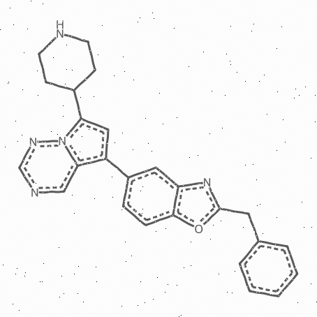 c1ccc(Cc2nc3cc(-c4cc(C5CCNCC5)n5ncncc45)ccc3o2)cc1